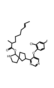 CC=CCCCCC(C)C(=O)OC1NCCC12CCC(c1ncncc1Oc1ccc(F)cc1Cl)C2